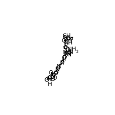 COc1ccc(F)cc1C(=O)NCc1ccc(-c2nn(C3CCN(C4CN(CCN5CCN(c6ccc7c(c6)C(=O)N(C6CCC(=O)NC6=O)C7=O)CC5)C4)CC3)c3ncnc(N)c23)cc1